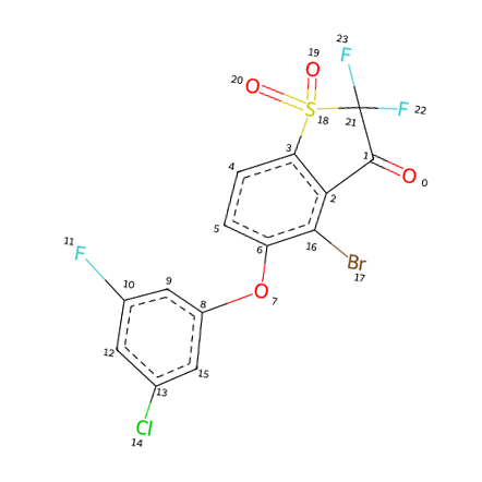 O=C1c2c(ccc(Oc3cc(F)cc(Cl)c3)c2Br)S(=O)(=O)C1(F)F